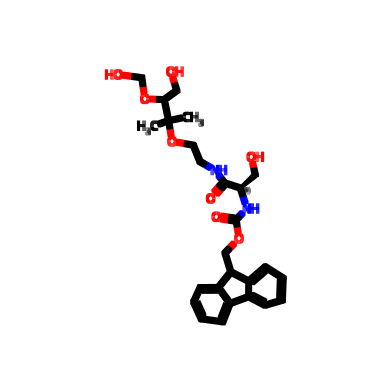 CC(C)(OCCNC(=O)[C@@H](CO)NC(=O)OCC1c2ccccc2-c2ccccc21)C(CO)OCO